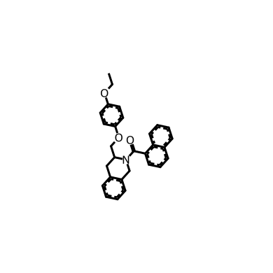 CCOc1ccc(OCC2Cc3ccccc3CN2C(=O)c2cccc3ccccc23)cc1